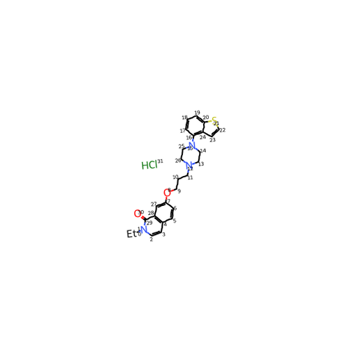 CCn1ccc2ccc(OCCCN3CCN(c4cccc5sccc45)CC3)cc2c1=O.Cl